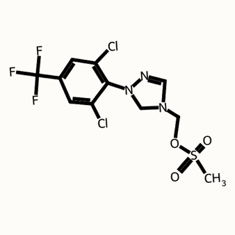 CS(=O)(=O)OCN1C=NN(c2c(Cl)cc(C(F)(F)F)cc2Cl)C1